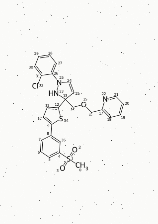 CS(=O)(=O)c1cccc(-c2ccc(C3(COCc4ccccn4)C=CN(c4ccccc4Cl)N3)s2)c1